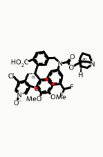 COc1ccc([C@H](Cc2c(Cl)c[n+]([O-])cc2Cl)c2cc(CN(C(=O)O[C@H]3CN4CCC3CC4)c3cccc(C(F)F)c3)ccc2C(=O)O)cc1OC